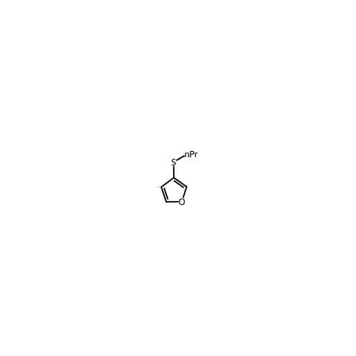 CCCSc1[c]coc1